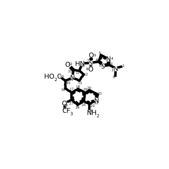 CN(C)c1ncc(S(=O)(=O)NC2CCN(C(Cc3cc4ccnc(N)c4cc3OC(F)(F)F)C(=O)O)C2=O)s1